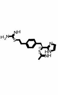 CC(=N)S[C@@H](Cc1ccc(CCSC(=N)N)cc1)c1ncc[nH]1